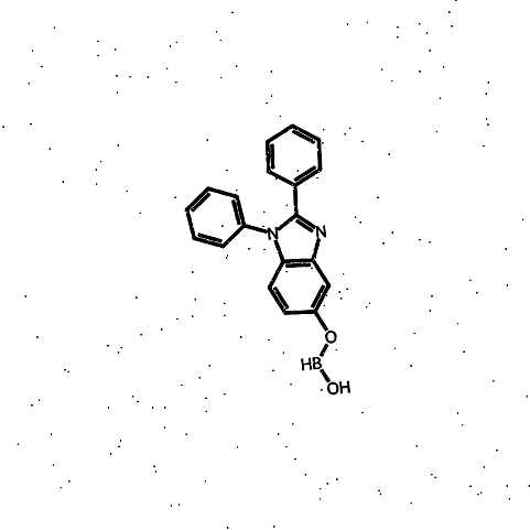 OBOc1ccc2c(c1)nc(-c1ccccc1)n2-c1ccccc1